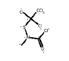 CN(SC(Cl)(Cl)C(Cl)(Cl)Cl)C(=O)Cl